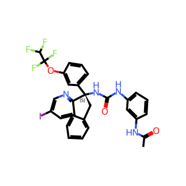 CC(=O)Nc1cccc(NC(=O)N[C@@](Cc2ccccc2)(c2cccc(OC(F)(F)C(F)F)c2)c2ccc(I)cn2)c1